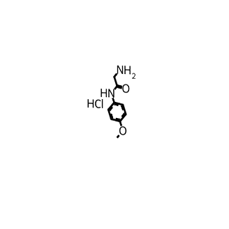 COc1ccc(NC(=O)CN)cc1.Cl